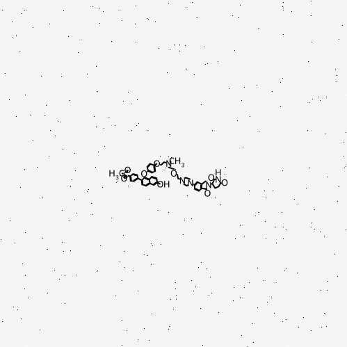 CN(CCOCCN1CCN(c2ccc3c(c2)CN(C2CCC(=O)NC2=O)C3=O)CC1)CCOc1ccc(Oc2c(-c3ccc(S(C)(=O)=O)cc3)ccc3cc(O)ccc23)cc1